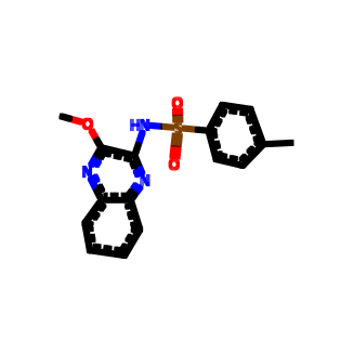 COc1nc2ccccc2nc1NS(=O)(=O)c1ccc(C)cc1